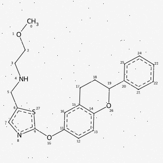 COCCNCc1cnc(Oc2ccc3c(c2)CCC(c2ccccc2)O3)s1